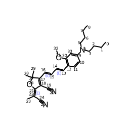 CCCCN(CCCC)c1ccc(/C=C/C=C/C2=C(C#N)C(=C(/C)C#N)/OC2(C)C)c(OC)c1